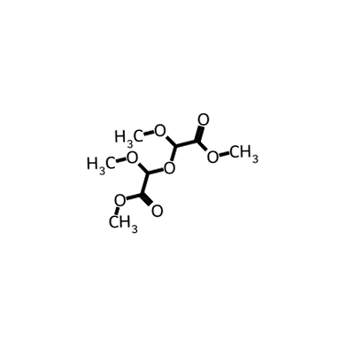 COC(=O)C(OC)OC(OC)C(=O)OC